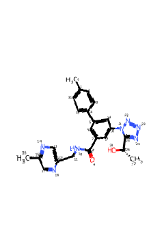 Cc1ccc(-c2cc(C(=O)NCc3cnc(C)cn3)cc(-n3nnnc3[C@H](C)O)c2)cc1